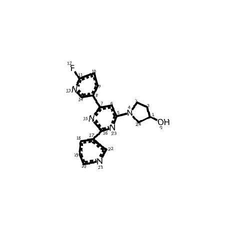 OC1CCN(c2cc(-c3ccc(F)nc3)nc(-c3cccnc3)n2)C1